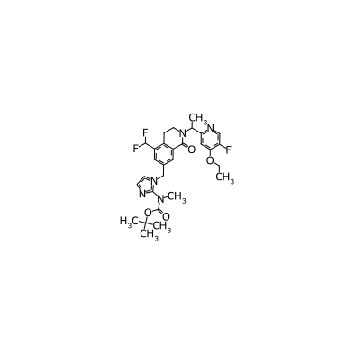 CCOc1cc(C(C)N2CCc3c(cc(Cn4ccnc4N(C)C(=O)OC(C)(C)C)cc3C(F)F)C2=O)ncc1F